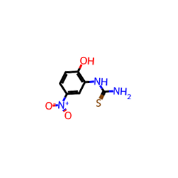 NC(=S)Nc1cc([N+](=O)[O-])ccc1O